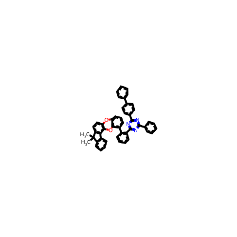 CC1(C)c2ccccc2-c2c1ccc1c2Oc2c(cccc2-c2ccccc2-c2nc(-c3ccccc3)nc(-c3ccc(-c4ccccc4)cc3)n2)O1